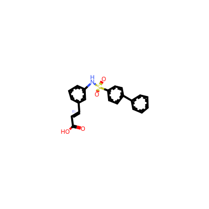 O=C(O)/C=C/c1cccc(NS(=O)(=O)c2ccc(-c3ccccc3)cc2)c1